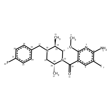 COc1nc(N)c(I)cc1C(=O)N1C[C@H](C)N(Cc2ccc(F)cc2)C[C@H]1C